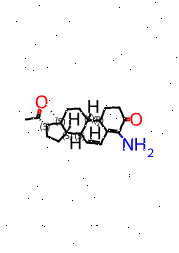 CC(=O)[C@H]1CC[C@H]2[C@@H]3C=CC4=C(N)C(=O)CC[C@@H]4[C@H]3CC[C@]12C